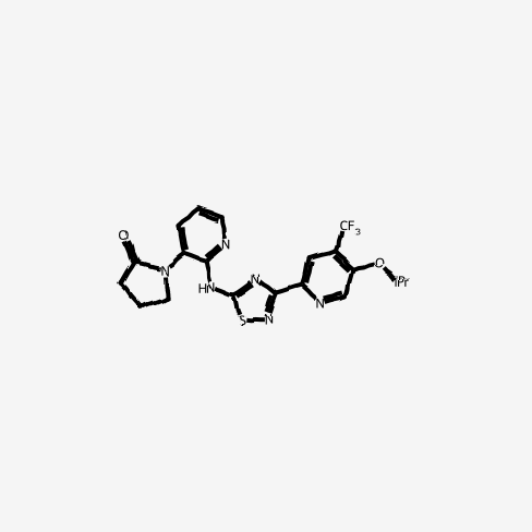 CC(C)Oc1cnc(-c2nsc(Nc3ncccc3N3CCCC3=O)n2)cc1C(F)(F)F